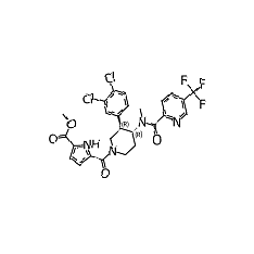 COC(=O)c1ccc(C(=O)N2CC[C@@H](N(C)C(=O)c3ccc(C(F)(F)F)cn3)[C@H](c3ccc(Cl)c(Cl)c3)C2)[nH]1